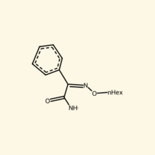 CCCCCCON=C(C([NH])=O)c1ccccc1